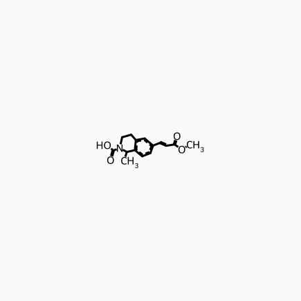 COC(=O)/C=C/c1ccc2c(c1)CCN(C(=O)O)C2C